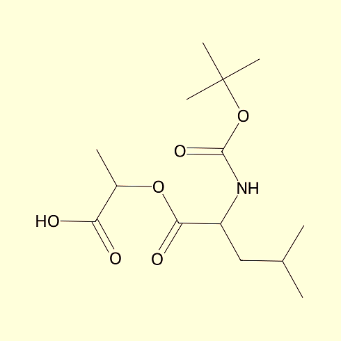 CC(C)CC(NC(=O)OC(C)(C)C)C(=O)OC(C)C(=O)O